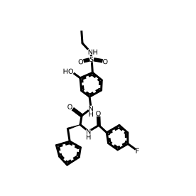 CCNS(=O)(=O)c1ccc(NC(=O)[C@H](Cc2ccccc2)NC(=O)c2ccc(F)cc2)cc1O